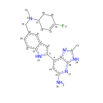 Cc1nc2c(-c3cc4cc(CN(C)C5CC=C(F)CC5)ccc4[nH]3)cc(N)nc2[nH]1